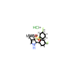 CNCC1=CNC(c2ccc(F)cc2F)C1(OC)S(=O)(=O)c1cccc(F)c1.Cl